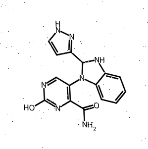 NC(=O)c1nc(O)ncc1N1c2ccccc2NC1c1cc[nH]n1